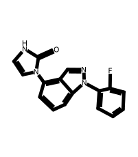 O=c1[nH]ccn1-c1cccc2c1cnn2-c1ccccc1F